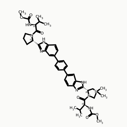 COC(=O)N[C@H](C(=O)N1CCC[C@H]1c1nc2cc(-c3ccc(-c4ccc5nc([C@@H]6C[Si](C)(C)CN6C(=O)[C@@H](NC(=O)OC)C(C)C)[nH]c5c4)cc3)ccc2[nH]1)C(C)C